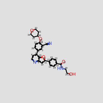 N#Cc1cc(-c2ccnc3cc(-c4ccc(C(=O)NCCO)cc4)oc23)ccc1OC1CCOCC1